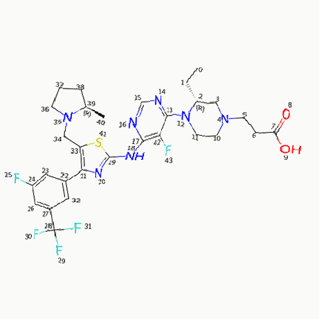 CC[C@@H]1CN(CCC(=O)O)CCN1c1ncnc(Nc2nc(-c3cc(F)cc(C(F)(F)F)c3)c(CN3CCC[C@H]3C)s2)c1F